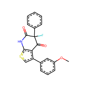 COc1cccc(-c2csc3c2C(=O)C(F)(c2ccccc2)C(=O)N3)c1